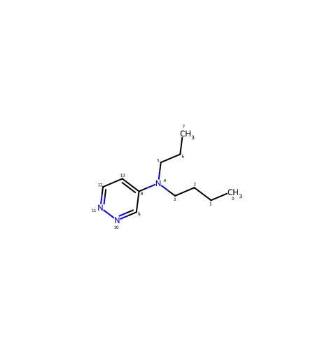 CCCCN(CCC)c1[c]nncc1